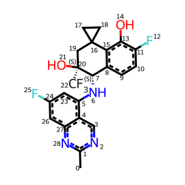 Cc1ncc2c(N[C@H]3c4ccc(F)c(O)c4C4(CC4)C[C@@]3(O)C(F)(F)F)cc(F)cc2n1